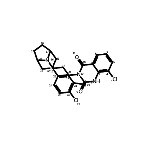 O=c1[nH]c2c(Cl)cccc2c(=O)n1CCCN1C2CCC1CN(c1ccc(Cl)c(Cl)c1)C2